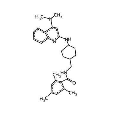 Cc1cc(C)c(C(=O)NCC2CCC(Nc3cc(N(C)C)c4ccccc4n3)CC2)c(C)c1